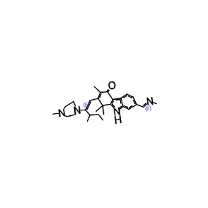 CCC(C)/C(=C\C1=C(C)C(=O)c2c([nH]c3cc(/C=N/C)ccc23)C1(C)C)N1CCN(C)CC1